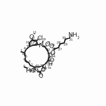 CC[C@@H]1/C=C/C=C(\C)Cc2cc(OC)c(Cl)c(c2)N(C)C(=O)C[C@H](OC(=O)CCCCCN)[C@]2(C)O[C@H]2[C@H](C)[C@@H]2C[C@@]1(O)NC(=O)O2